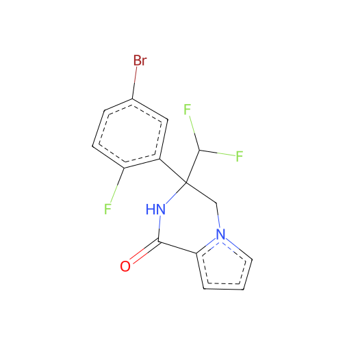 O=C1NC(c2cc(Br)ccc2F)(C(F)F)Cn2cccc21